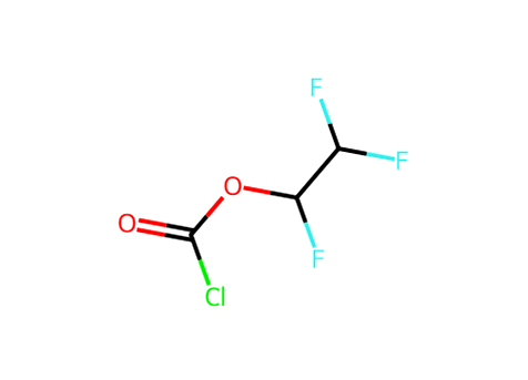 O=C(Cl)OC(F)C(F)F